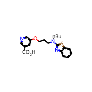 CCCCN(CCCOc1cncc(C(=O)O)c1)c1nc2ccccc2s1